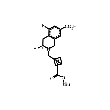 CC[C@H]1Cc2c(F)cc(C(=O)O)cc2CN1CC12CC(C1)N(C(=O)OC(C)(C)C)C2